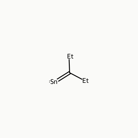 CC[C](=[Sn])CC